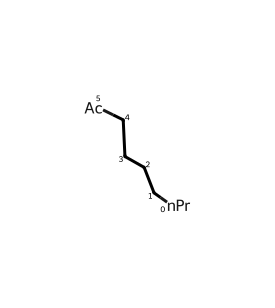 [CH2]CCCCCCC(C)=O